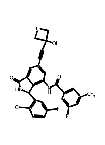 O=C(Nc1cc(C#CC2(O)COC2)cc2c1C(c1cc(F)ccc1Cl)NC2=O)c1cc(F)cc(C(F)(F)F)c1